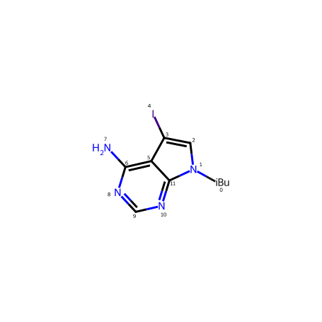 CCC(C)n1cc(I)c2c(N)ncnc21